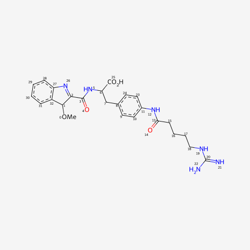 COC1C(C(=O)NC(Cc2ccc(NC(=O)CCCCNC(=N)N)cc2)C(=O)O)=Nc2ccccc21